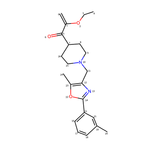 C=C(OCC)C(=O)C1CCN(Cc2nc(-c3cccc(C)c3)oc2C)CC1